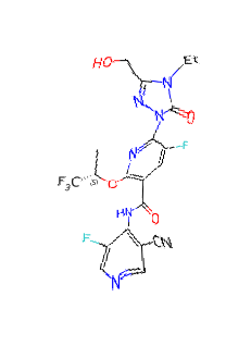 CCn1c(CO)nn(-c2nc(O[C@@H](C)C(F)(F)F)c(C(=O)Nc3c(F)cncc3C#N)cc2F)c1=O